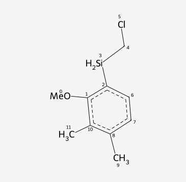 COc1c([SiH2]CCl)ccc(C)c1C